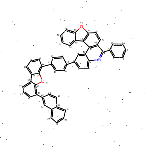 c1ccc(-c2nc3ccc(-c4ccc(-c5cccc6c5oc5c(-c7ccc8ccccc8c7)cccc56)cc4)cc3c3c2ccc2oc4ccccc4c23)cc1